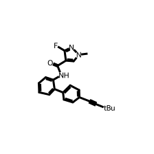 Cn1cc(C(=O)Nc2ccccc2-c2ccc(C#CC(C)(C)C)cc2)c(F)n1